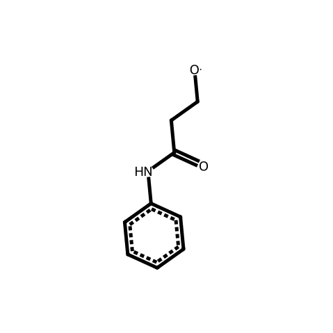 [O]CCC(=O)Nc1ccccc1